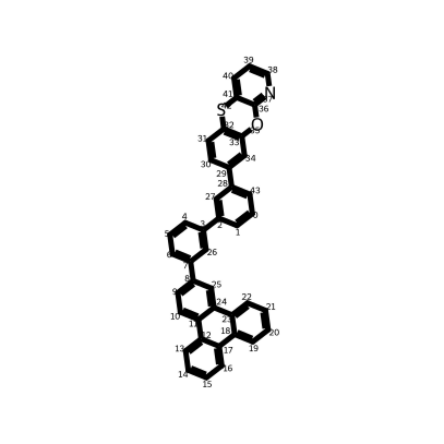 c1cc(-c2cccc(-c3ccc4c5ccccc5c5ccccc5c4c3)c2)cc(-c2ccc3c(c2)Oc2ncccc2S3)c1